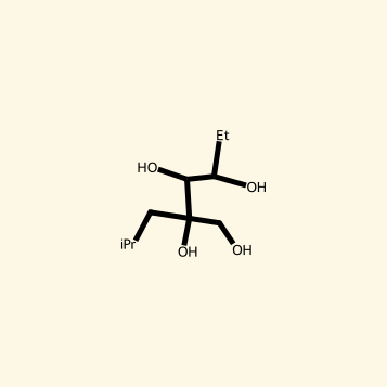 CCC(O)C(O)C(O)(CO)CC(C)C